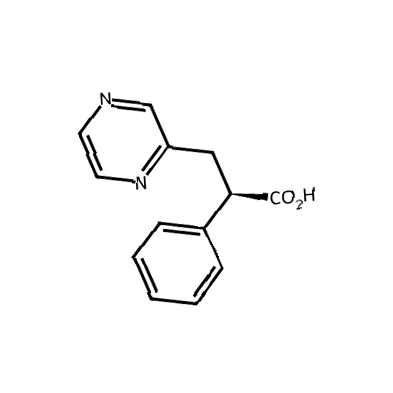 O=C(O)[C@H](Cc1cnccn1)c1ccccc1